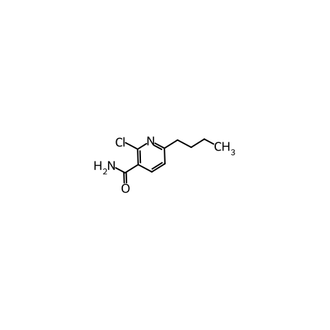 CCCCc1ccc(C(N)=O)c(Cl)n1